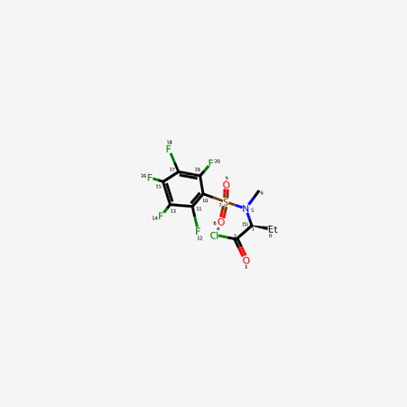 CC[C@@H](C(=O)Cl)N(C)S(=O)(=O)c1c(F)c(F)c(F)c(F)c1F